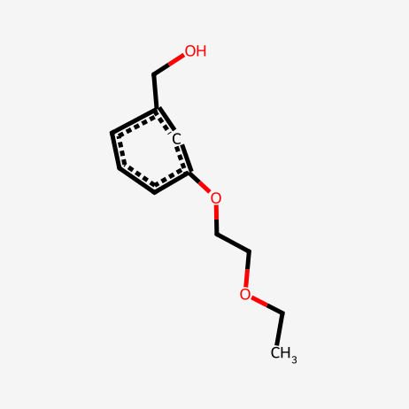 CCOCCOc1cccc(CO)c1